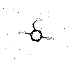 COc1ccc(OC)c(COC(C)=O)c1